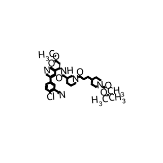 COC(=O)C[C@@H](NC(=O)C1CCCN(C(=O)CCC2CCN(C(=O)OC(C)(C)C)CC2)C1)c1cncc(-c2ccc(Cl)c(C#N)c2)c1